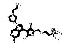 [2H]c1nn(COCC[Si](C)(C)C)c([2H])c1-c1cn([C@H]2CCN(CCC(F)(F)F)C2)c2cnc(Br)cc12